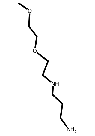 COCCOCCNCCCN